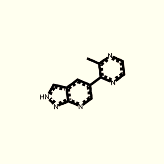 Cc1nccnc1-c1cnc2n[nH]cc2c1